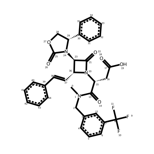 CN(Cc1cccc(C(F)(F)F)c1)C(=O)[C@@H](CC(=O)O)N1C(=O)[C@H](N2C(=O)OC[C@@H]2c2ccccc2)[C@H]1C=Cc1ccccc1